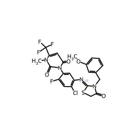 COc1cccc(CN2C(=O)CS/C2=N\c2cc(-n3c(=O)cc(C(F)(F)F)n(C)c3=O)c(F)cc2Cl)c1